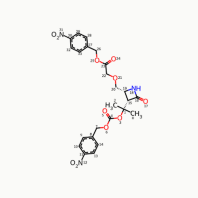 CC(C)(OC(=O)OCc1ccc([N+](=O)[O-])cc1)[C@H]1C(=O)N[C@H]1COCC(=O)OCc1ccc([N+](=O)[O-])cc1